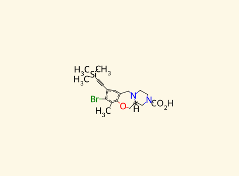 Cc1c(Br)c(C#C[Si](C)(C)C)cc2c1OC[C@H]1CN(C(=O)O)CCN1C2